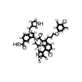 Cc1cc(OCCCc2c3n(c4c(-c5c(C)nn(C)c5C)c(Cl)ccc24)C(C)CN(c2cn(CC4CCNC4)c4ccc(C(=O)O)cc24)C3=O)cc(C)c1Cl